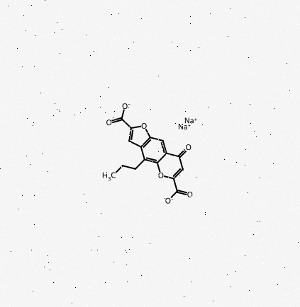 CCCc1c2cc(C(=O)[O-])oc2cc2c(=O)cc(C(=O)[O-])oc12.[Na+].[Na+]